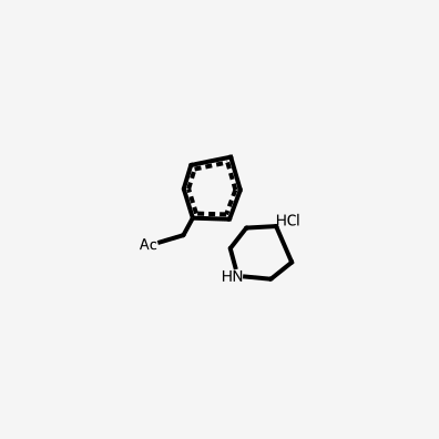 C1CCNCC1.CC(=O)Cc1ccccc1.Cl